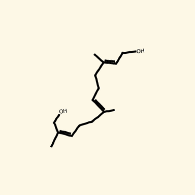 CC(=CCCC(C)=CCCC(C)=CCO)CO